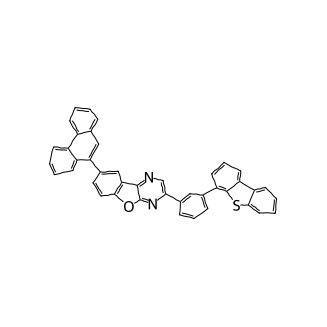 c1cc(-c2cnc3c(n2)oc2ccc(-c4cc5ccccc5c5ccccc45)cc23)cc(-c2cccc3c2sc2ccccc23)c1